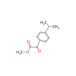 COC(=O)C(=O)c1ccc(C(C)C)cc1